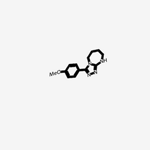 COc1ccc(-c2nnc3n2CCCCN3)cc1